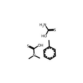 CN(C)C(O)=S.Cc1ccccc1.NC(O)=S